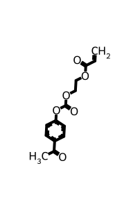 C=CC(=O)OCCOC(=O)Oc1ccc(C(C)=O)cc1